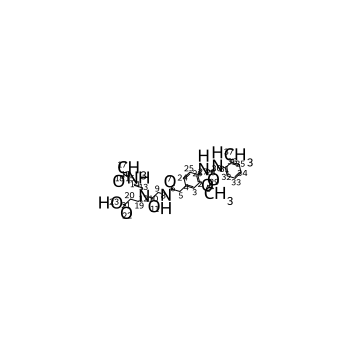 COc1cc(CC(=O)NCC(=O)N(CCNC(C)=O)CCC(=O)O)ccc1NC(=O)Nc1ccccc1C